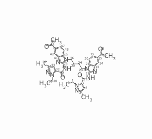 CCn1nc(C)cc1C(=O)Nc1nc2cc(C(C)=O)ccc2n1CCCCn1c(NC(=O)c2cc(C)nn2CC)nc2cc(C(C)=O)ccc21